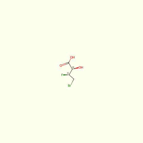 O=C(O)[C@@H](O)[C@H](F)CBr